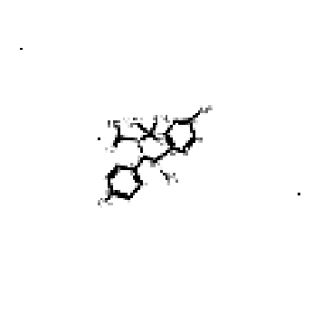 CC(C)(C)N(C(=O)O)[C@H](c1ccc(Cl)cc1)[C@@H](N)c1ccc(Cl)cc1